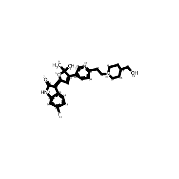 CC1(C)OC(=C2C(=O)Nc3cc(F)ccc32)C=C1c1ccc(CCN2CCC(CO)CC2)nc1